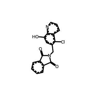 O=C1c2ccccc2C(=O)N1Cc1cc(O)c2ncccc2c1Cl